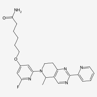 CC1c2cnc(-c3ccccn3)nc2CCN1c1cc(OCCCCCC(N)=O)cc(F)n1